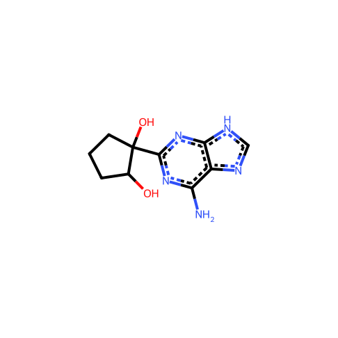 Nc1nc(C2(O)CCCC2O)nc2[nH]cnc12